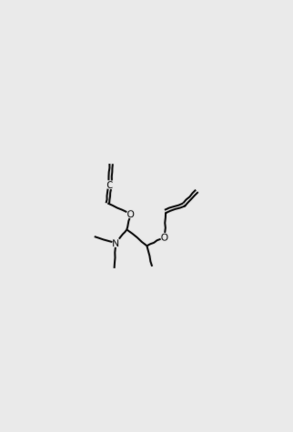 C=C=COC(C)C(OC=C=C)N(C)C